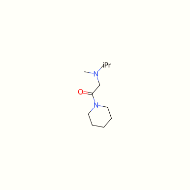 CC(C)N(C)CC(=O)N1CCCCC1